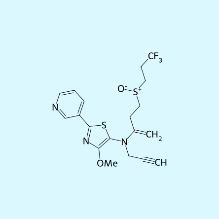 C#CCN(C(=C)CC[S+]([O-])CCC(F)(F)F)c1sc(-c2cccnc2)nc1OC